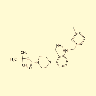 CC(C)(C)OC(=O)N1CCN(c2cccc(NCc3cccc(F)c3)c2CN)CC1